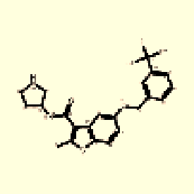 Cc1oc2ccc(OCc3cccc(C(F)(F)F)c3)cc2c1C(=O)NC1CCNC1